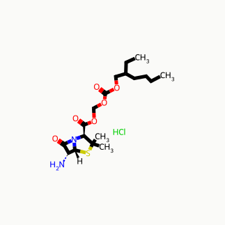 CCCCC(CC)COC(=O)OCOC(=O)[C@@H]1N2C(=O)[C@@H](N)[C@H]2SC1(C)C.Cl